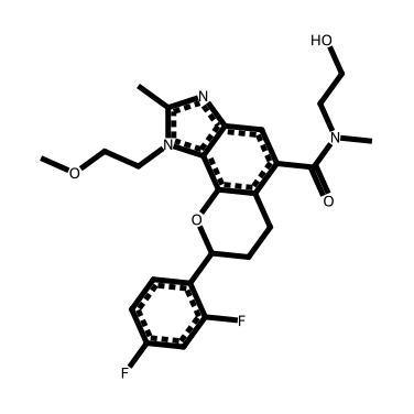 COCCn1c(C)nc2cc(C(=O)N(C)CCO)c3c(c21)OC(c1ccc(F)cc1F)CC3